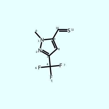 Cn1nc(C(F)(F)F)cc1C=S